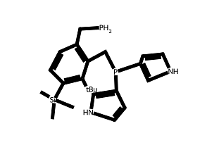 CC(C)(C)c1c([Si](C)(C)C)ccc(CP)c1CP(c1cc[nH]c1)c1cc[nH]c1